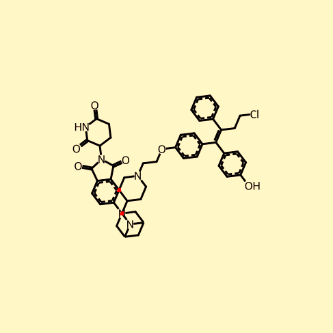 O=C1CCC(N2C(=O)c3ccc(N4CC5CC(C4)N5CC4CCN(CCOc5ccc(C(=C(CCCl)c6ccccc6)c6ccc(O)cc6)cc5)CC4)cc3C2=O)C(=O)N1